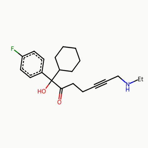 CCNCC#CCCC(=O)C(O)(c1ccc(F)cc1)C1CCCCC1